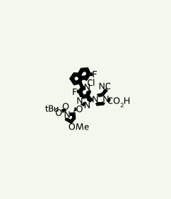 CO[C@@H]1C[C@@H](COc2nc(N3CCN(C(=O)O)C(CC#N)C3)c3cnc(-c4cccc5ccc(F)c(Cl)c45)c(F)c3n2)N(C(=O)OC(C)(C)C)C1